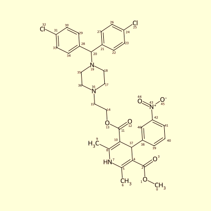 COC(=O)C1=C(C)NC(C)=C(C(=O)OCCN2CCN(C(c3ccc(Cl)cc3)c3ccc(Cl)cc3)CC2)C1c1cccc([N+](=O)[O-])c1